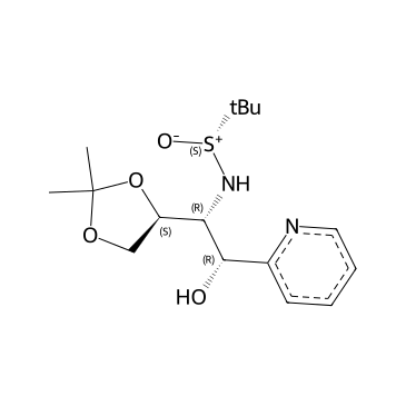 CC1(C)OC[C@H]([C@H](N[S@+]([O-])C(C)(C)C)[C@@H](O)c2ccccn2)O1